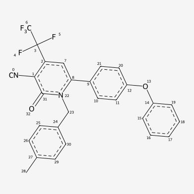 [C-]#[N+]c1c(C(F)(F)C(F)(F)F)cc(-c2ccc(Oc3ccccc3)cc2)n(Cc2ccc(C)cc2)c1=O